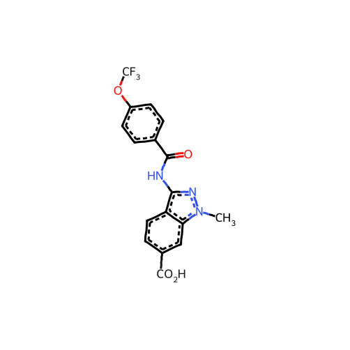 Cn1nc(NC(=O)c2ccc(OC(F)(F)F)cc2)c2ccc(C(=O)O)cc21